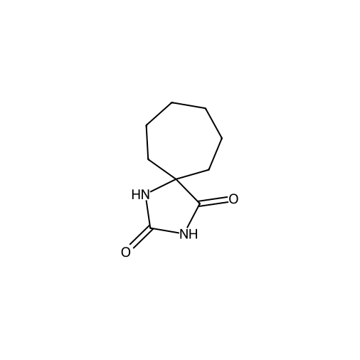 O=C1NC(=O)C2(CCCCCC2)N1